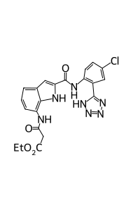 CCOC(=O)CC(=O)Nc1cccc2cc(C(=O)Nc3ccc(Cl)cc3-c3nnn[nH]3)[nH]c12